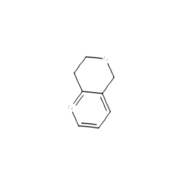 c1cnc2c(c1)C[N]CC2